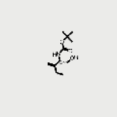 C=C(CC)[C@@H](CO)NC(=O)OC(C)(C)C